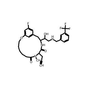 C#CCC1C(=O)NC(C(O)CNCc2cccc(C(F)(F)F)c2)Cc2cc(F)cc(c2)OCCCCCC(=O)N1C